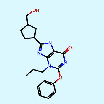 CCCn1c(Oc2ccccc2)nc(=O)c2c1N=C(C1CCC(CO)C1)[N]2